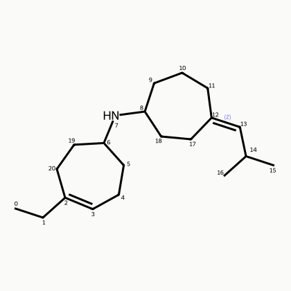 CCC1=CCCC(NC2CCC/C(=C/C(C)C)CC2)CC1